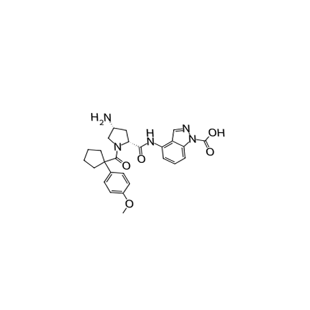 COc1ccc(C2(C(=O)N3C[C@H](N)C[C@@H]3C(=O)Nc3cccc4c3cnn4C(=O)O)CCCC2)cc1